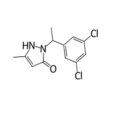 Cc1cc(=O)n(C(C)c2cc(Cl)cc(Cl)c2)[nH]1